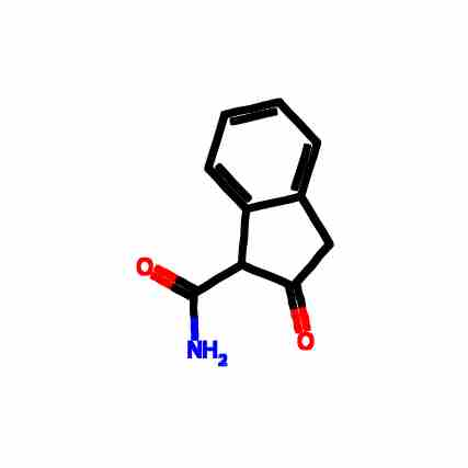 NC(=O)C1C(=O)Cc2ccccc21